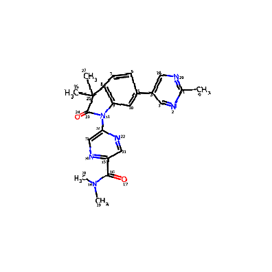 Cc1ncc(-c2ccc3c(c2)N(c2cnc(C(=O)N(C)C)cn2)C(=O)C3(C)C)cn1